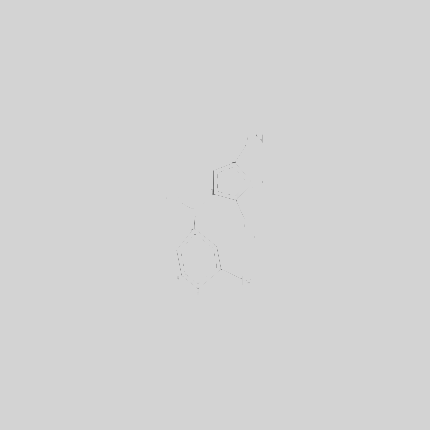 N#Cc1cc([S+]([O-])c2cccc(Br)c2)c(Cl)s1